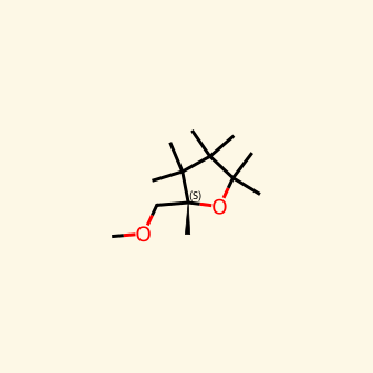 COC[C@@]1(C)OC(C)(C)C(C)(C)C1(C)C